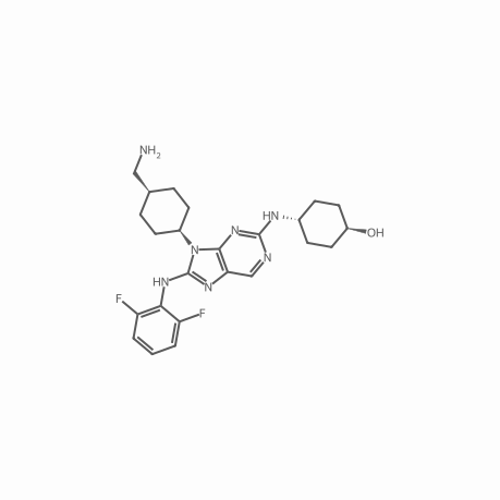 NC[C@H]1CC[C@@H](n2c(Nc3c(F)cccc3F)nc3cnc(N[C@H]4CC[C@H](O)CC4)nc32)CC1